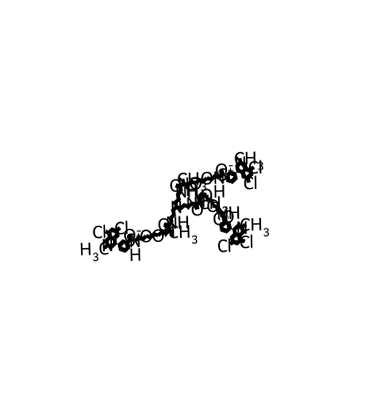 CN1Cc2c(Cl)cc(Cl)cc2[C@H](c2cccc([S+]([O-])NCCOCCOCCN(C)C(=O)NCCCN(CCCNC(=O)N(C)CCOCCOCCN[S+]([O-])c3cccc([C@@H]4CN(C)Cc5c(Cl)cc(Cl)cc54)c3)CCCNC(=O)N(C)CCOCCOCCNS(=O)(=O)c3cccc([C@@H]4CN(C)Cc5c(Cl)cc(Cl)cc54)c3)c2)C1